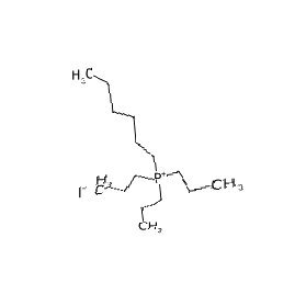 CCCCCC[P+](CCC)(CCC)CCC.[I-]